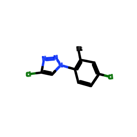 CCc1cc(Cl)ccc1-n1cc(Cl)nn1